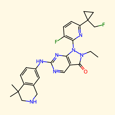 CCn1c(=O)c2cnc(Nc3ccc4c(c3)CNCC4(C)C)nc2n1-c1nc(C2(CF)CC2)ccc1F